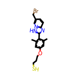 Cc1cc(OCCCS)cc(C)c1C1N=C2C=CC(CBr)=CN2N1